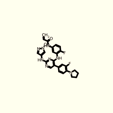 C=CC(=O)Nc1ccc(F)c(Nc2nc(Nc3cnn(C)c3)ncc2-c2ccc(N3CCCC3)c(F)c2)c1